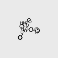 O=C(N[C@H]1CCCN(C(=O)OCc2ccccc2)[C@H]1COC1CCN(c2ncccn2)CC1)[C@@H]1CCCO1